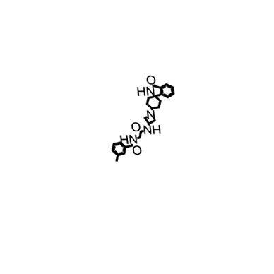 Cc1cccc(C(=O)NCC(=O)NC2CN(C3CCC4(CC3)NC(=O)c3ccccc34)C2)c1